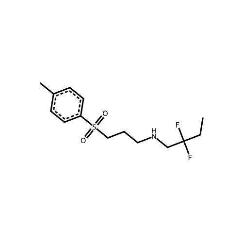 CCC(F)(F)CNCCCS(=O)(=O)c1ccc(C)cc1